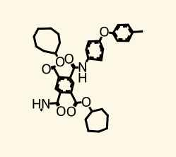 CNC(=O)c1cc(C(=O)OC2CCCCCCC2)c(C(=O)Nc2ccc(Oc3ccc(C)cc3)cc2)cc1C(=O)OC1CCCCCC1